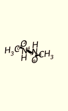 CC(=O)NC=CNC(C)=O